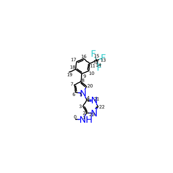 CNc1cc(-n2ccc(-c3cc(C(F)(F)F)ccc3C)c2)ncn1